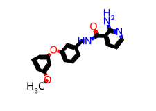 COc1cccc(Oc2cccc(CNC(=O)c3cccnc3N)c2)c1